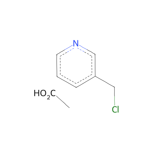 CC(=O)O.ClCc1cccnc1